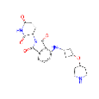 O=C1CCC(N2C(=O)c3cccc(NC4CC(OC5CCNCC5)C4)c3C2=O)C(=O)N1